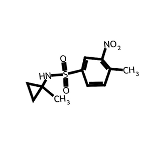 Cc1ccc(S(=O)(=O)NC2(C)CC2)cc1[N+](=O)[O-]